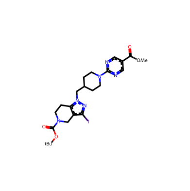 COC(=O)c1cnc(N2CCC(Cn3nc(I)c4c3CCN(C(=O)OC(C)(C)C)C4)CC2)nc1